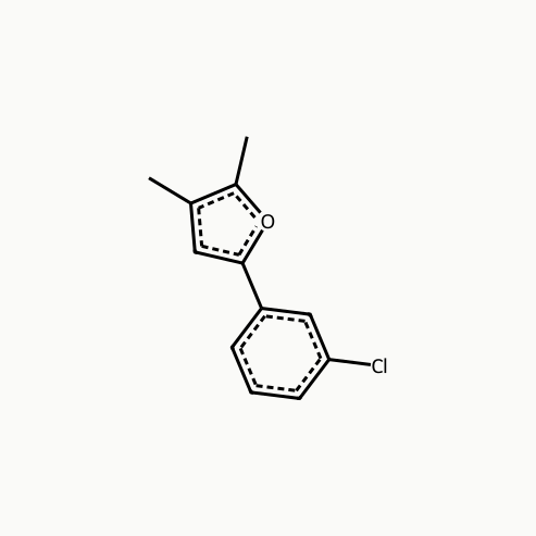 Cc1cc(-c2cccc(Cl)c2)oc1C